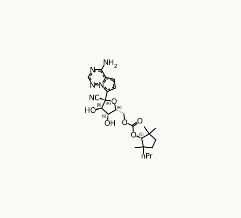 CCCC1(C)CCC(C)(C)[C@@H]1OC(=O)OC[C@H]1O[C@@](C#N)(c2ccc3c(N)ncnn23)[C@H](O)[C@@H]1O